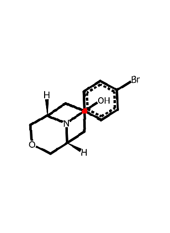 OC1C[C@H]2COC[C@@H](C1)N2c1ccc(Br)cc1